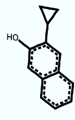 Oc1cc2ccccc2cc1C1CC1